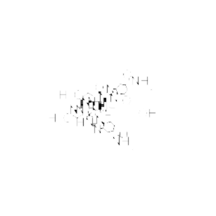 CCn1nc(C)cc1C(=O)Nc1nc2cc(C(N)=O)ccc2n1CC(F)(F)C(F)(F)Cn1c(NC(=O)c2cc(C)nn2CC)nc2cc(C(N)=O)cc(OCCCO)c21